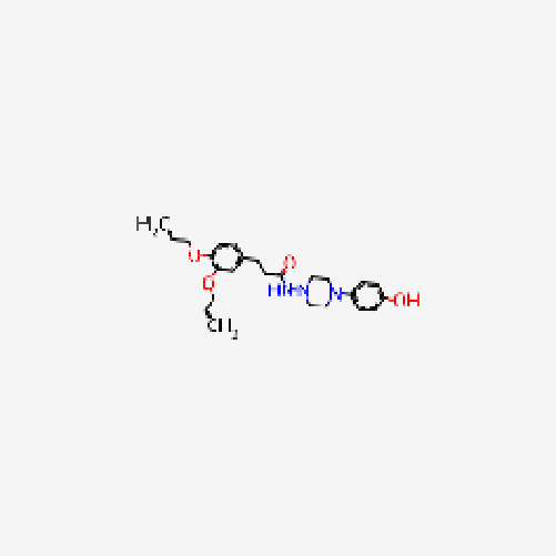 C=CCOc1ccc(CCC(=O)NN2CCN(c3ccc(O)cc3)CC2)cc1OCC=C